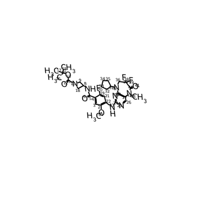 COc1cc(C(=O)NC2CN(C(=O)OC(C)(C)C)C2)c(F)cc1Nc1ncc2c(n1)N(C1CCCC1)CC(F)(F)C(=O)N2C